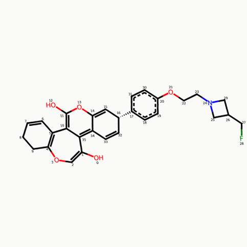 OC1=COC2=C(C=CCC2)C2=C(O)OC3=C[C@H](c4ccc(OCCN5CC(CF)C5)cc4)C=CC3=C12